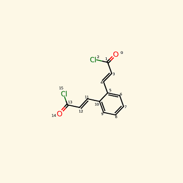 O=C(Cl)C=Cc1ccccc1C=CC(=O)Cl